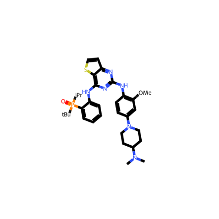 COc1cc(N2CCC(N(C)C)CC2)ccc1Nc1nc(Nc2ccccc2P(=O)(C(C)C)C(C)(C)C)c2sccc2n1